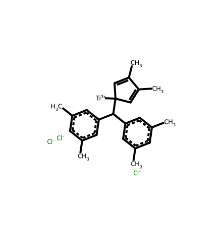 CC1=C[C]([Ti+3])(C(c2cc(C)cc(C)c2)c2cc(C)cc(C)c2)C=C1C.[Cl-].[Cl-].[Cl-]